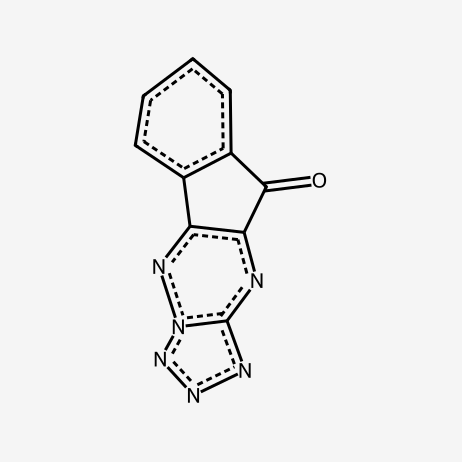 O=C1c2ccccc2-c2nn3nnnc3nc21